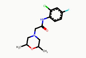 CC1CN(CC(=O)Nc2ccc(F)cc2Cl)CC(C)O1